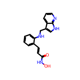 O=C(C=Cc1ccccc1NCc1c[nH]c2ncccc12)NO